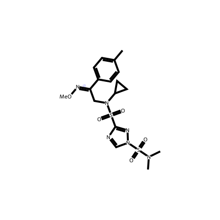 CO/N=C(\CN(C1CC1)S(=O)(=O)c1ncn(S(=O)(=O)N(C)C)n1)c1ccc(C)cc1